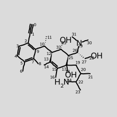 C#Cc1ccc(C)c(C)c1[C@H](C)[C@@H]1C(C)=C(C)C(O)(CC(C)C(C)N)[C@H]([C@@H](CO)N(C)C)[C@H]1O